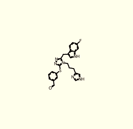 O=Cc1cccc(Sc2nnc(Cc3c[nH]c4cc(F)ccc34)n2CCCc2c[nH]cn2)c1